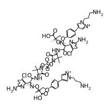 C[n+]1cc(-c2ccc(OC[C@@](C)(O/N=C(\C(=O)N[C@@H]3C(=O)N(OS(=O)(=O)ON4C(=O)[C@@H](NC(=O)/C(=N\O[C@](C)(COc5ccc(-c6cn(CCCN)[n+](C)c6)cc5)C(=O)O)c5nc(N)sc5Cl)C4(C)C)C3(C)C)c3nc(N)sc3Cl)C(=O)O)cc2)cn1CCCN